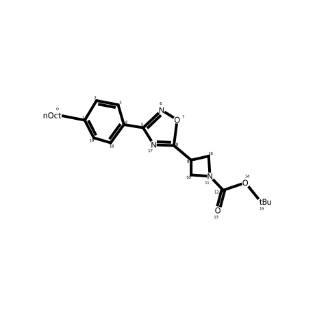 CCCCCCCCc1ccc(-c2noc(C3CN(C(=O)OC(C)(C)C)C3)n2)cc1